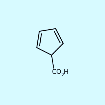 O=C(O)C1C=CC=C1